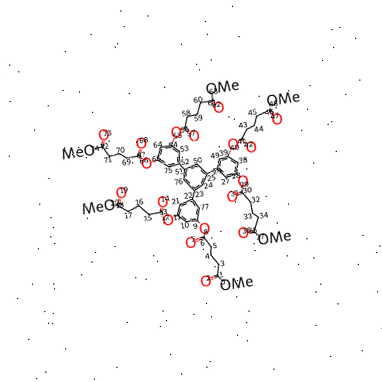 COC(=O)CCCC(=O)Oc1cc(OC(=O)CCCC(=O)OC)cc(-c2cc(-c3cc(OC(=O)CCCC(=O)OC)cc(OC(=O)CCCC(=O)OC)c3)cc(-c3cc(OC(=O)CCCC(=O)OC)cc(OC(=O)CCCC(=O)OC)c3)c2)c1